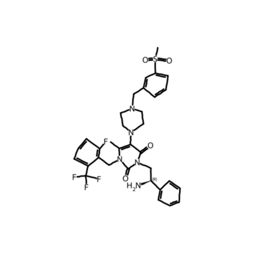 Cc1c(N2CCN(Cc3cccc(S(C)(=O)=O)c3)CC2)c(=O)n(C[C@H](N)c2ccccc2)c(=O)n1Cc1c(F)cccc1C(F)(F)F